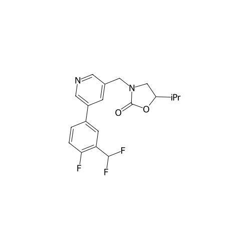 CC(C)C1CN(Cc2cncc(-c3ccc(F)c(C(F)F)c3)c2)C(=O)O1